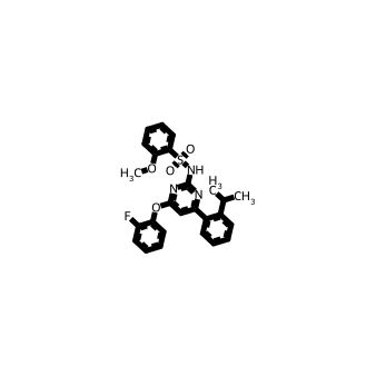 COc1ccccc1S(=O)(=O)Nc1nc(Oc2ccccc2F)cc(-c2ccccc2C(C)C)n1